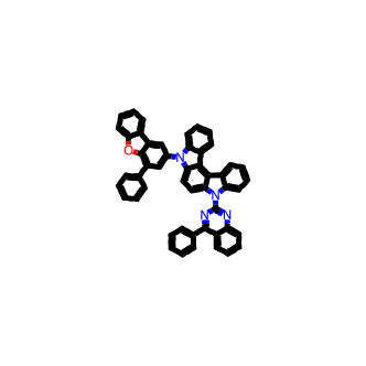 c1ccc(-c2nc(-n3c4ccccc4c4c5c6ccccc6n(-c6cc(-c7ccccc7)c7oc8ccccc8c7c6)c5ccc43)nc3ccccc23)cc1